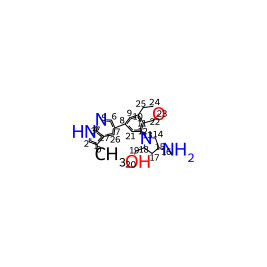 Cc1c[nH]c2ncc(-c3cc4c(c(N5CC(N)CC5CO)c3)COCC4)cc12